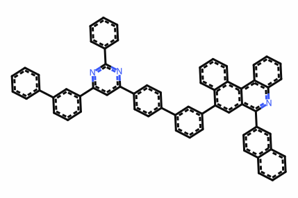 c1ccc(-c2cccc(-c3cc(-c4ccc(-c5cccc(-c6cc7c(-c8ccc9ccccc9c8)nc8ccccc8c7c7ccccc67)c5)cc4)nc(-c4ccccc4)n3)c2)cc1